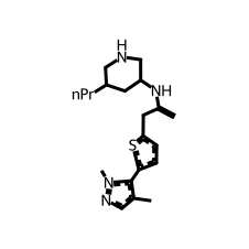 C=C(Cc1ccc(-c2c(C)cnn2C)s1)NC1CNCC(CCC)C1